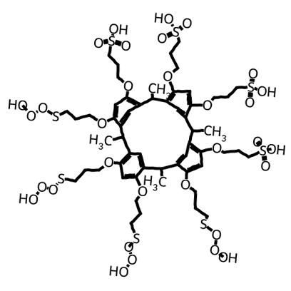 CC1c2cc(c(OCCCSOOO)cc2OCCCSOOO)C(C)c2cc(c(OCCCS(=O)(=O)O)cc2OCCCSOOO)C(C)c2cc(c(OCCCS(=O)(=O)O)cc2OCCCS(=O)(=O)O)C(C)c2cc1c(OCCCSOOO)cc2OCCCS(=O)(=O)O